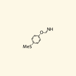 CSc1ccc(OC=N)cc1